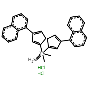 Cl.Cl.[CH3][Zr]([CH3])(=[SiH2])([C]1=CC(c2cccc3ccccc23)=CC1)[C]1=CC(c2cccc3ccccc23)=CC1